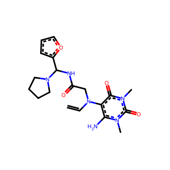 C=CN(CC(=O)NC(c1ccco1)N1CCCC1)c1c(N)n(C)c(=O)n(C)c1=O